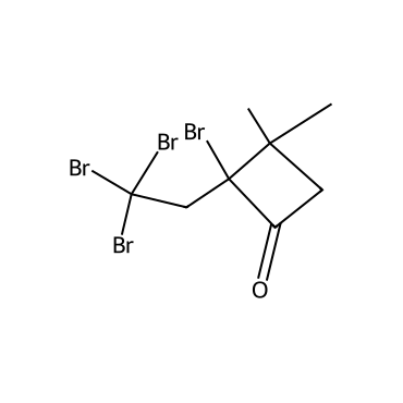 CC1(C)CC(=O)C1(Br)CC(Br)(Br)Br